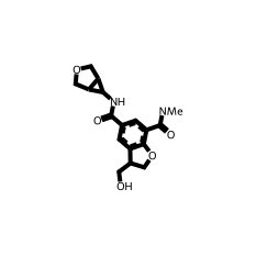 CNC(=O)c1cc(C(=O)NC2C3COCC32)cc2c1OCC2CO